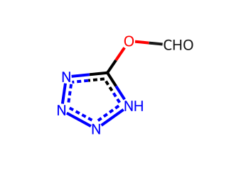 O=COc1nnn[nH]1